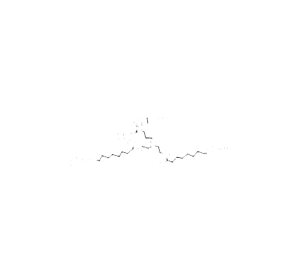 CCCCCCCCCCCCCCCCCC(=O)OCCN(CCCN(C)C)CCOC(=O)CCCCCCCCCCCCCCCCC.Cl